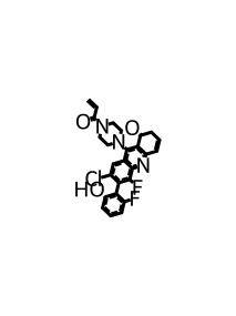 C=CC(=O)N1CCN(c2c3c(nc4c(F)c(-c5c(O)cccc5F)c(Cl)cc24)C=CCC3=O)CC1